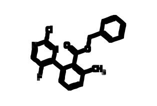 Cc1cccc(-c2nc(Cl)ncc2F)c1C(=O)OCc1ccccc1